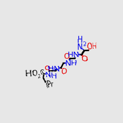 CC(C)C[C@H](NC(=O)CNC(=O)CNC(=O)CNC(=O)[C@@H](N)CO)C(=O)O